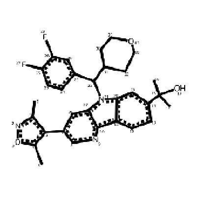 Cc1noc(C)c1-c1cnc2c3ccc(C(C)(C)O)cc3n(C(c3ccc(F)c(F)c3)C3CCOCC3)c2c1